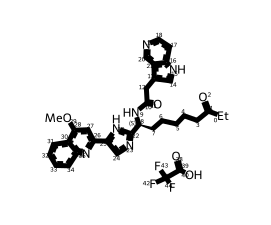 CCC(=O)CCCCC[C@H](NC(=O)Cc1c[nH]c2ccncc12)c1ncc(-c2cc(OC)c3ccccc3n2)[nH]1.O=C(O)C(F)(F)F